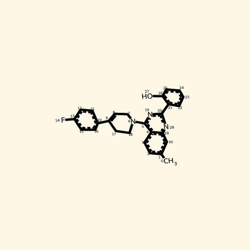 Cc1ccc2c(N3CC=C(c4ccc(F)cc4)CC3)nc(-c3ccccc3O)nc2c1